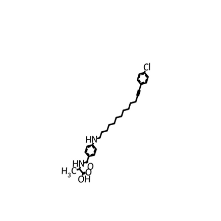 CC(NC(=O)c1ccc(NCCCCCCCCCCCC#Cc2ccc(Cl)cc2)cc1)C(=O)O